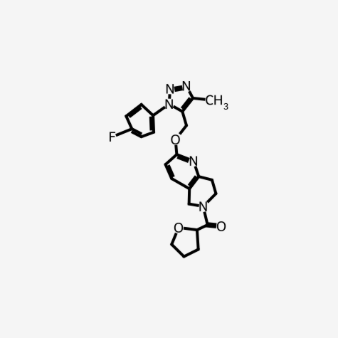 Cc1nnn(-c2ccc(F)cc2)c1COc1ccc2c(n1)CCN(C(=O)C1CCCO1)C2